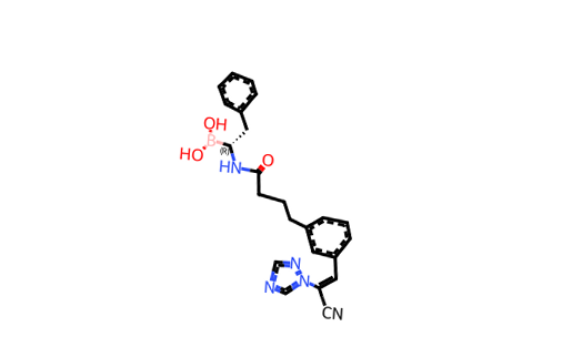 N#CC(=Cc1cccc(CCCC(=O)N[C@@H](Cc2ccccc2)B(O)O)c1)n1cncn1